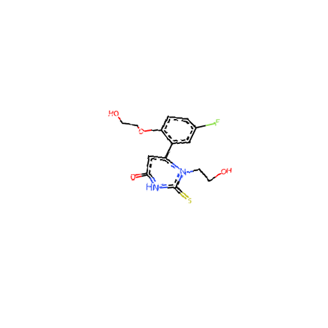 O=c1cc(-c2cc(F)ccc2OCCO)n(CCO)c(=S)[nH]1